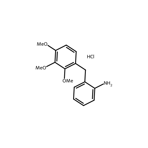 COc1ccc(Cc2ccccc2N)c(OC)c1OC.Cl